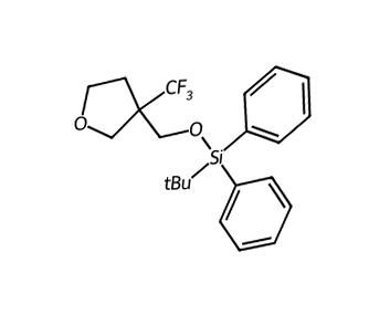 CC(C)(C)[Si](OCC1(C(F)(F)F)CCOC1)(c1ccccc1)c1ccccc1